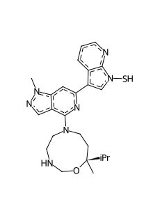 CC(C)[C@]1(C)CCN(c2nc(-c3cn(S)c4ncccc34)cc3c2cnn3C)CCNCO1